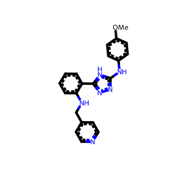 COc1ccc(Nc2nnc(-c3ccccc3NCc3ccncc3)[nH]2)cc1